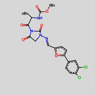 CCCCC(NC(=O)OC(C)(C)C)C(=O)N1C(=O)CN(/N=C/c2ccc(-c3ccc(Cl)c(Cl)c3)o2)C1=O